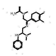 C=C(N)N(C)C/C(=N\CC(Nc1ccccc1)N(C)C)C1=CC(C)=C(F)CC1